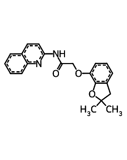 CC1(C)Cc2cccc(OCC(=O)Nc3ccc4ccccc4n3)c2O1